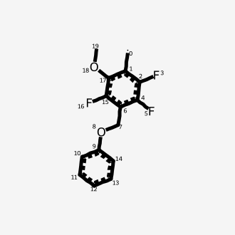 [CH2]c1c(F)c(F)c(COc2ccccc2)c(F)c1OC